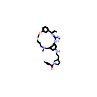 C=N/C1=N\C(=C/C)c2cccc(c2)OCC/C=C/CN(C)Cc2cc(NCCC3CCN(C(=O)C#CC)C3)cc(c2)N1